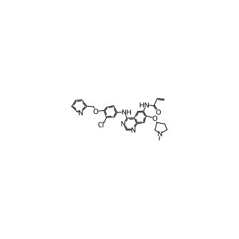 C=CC(=O)Nc1cc2c(Nc3ccc(OCc4ccccn4)c(Cl)c3)ncnc2cc1O[C@@H]1CCN(C)C1